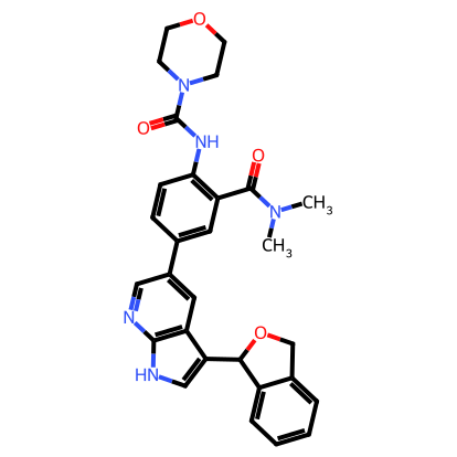 CN(C)C(=O)c1cc(-c2cnc3[nH]cc(C4OCc5ccccc54)c3c2)ccc1NC(=O)N1CCOCC1